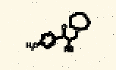 CCC(CN1CCCCCC1)C(=O)c1ccc(C)cc1.Cl